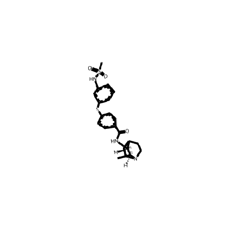 C[C@H]1[C@H](NC(=O)c2ccc(Sc3cccc(NS(C)(=O)=O)c3)cc2)C2CCN1CC2